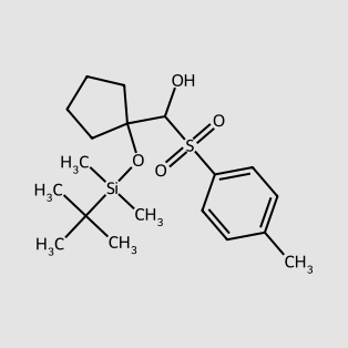 Cc1ccc(S(=O)(=O)C(O)C2(O[Si](C)(C)C(C)(C)C)CCCC2)cc1